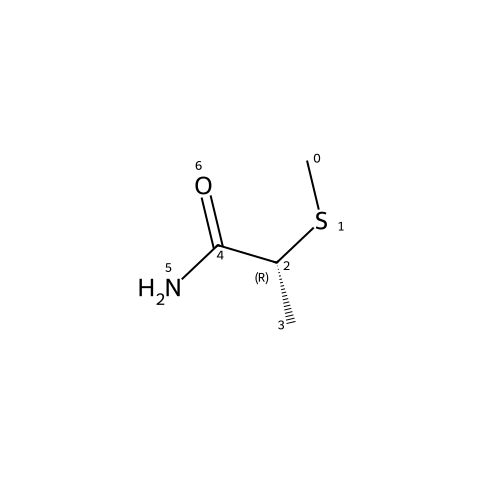 CS[C@H](C)C(N)=O